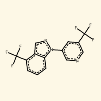 FC(F)(F)c1cncc(-n2ncc3c(C(F)(F)F)cccc32)c1